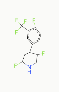 Fc1ccc(C2CC(F)NCC2F)cc1C(F)(F)F